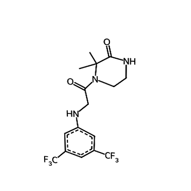 CC1(C)C(=O)NCCN1C(=O)CNc1cc(C(F)(F)F)cc(C(F)(F)F)c1